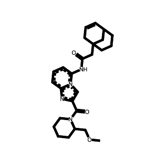 COCC1CCCCN1C(=O)c1cn2c(NC(=O)CC34CC=CC(CCC3)C4)cccc2n1